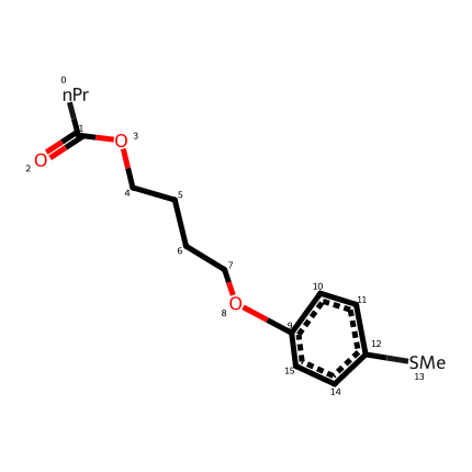 CCCC(=O)OCCCCOc1ccc(SC)cc1